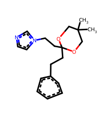 CC1(C)COC(CCc2ccccc2)(CCn2ccnc2)OC1